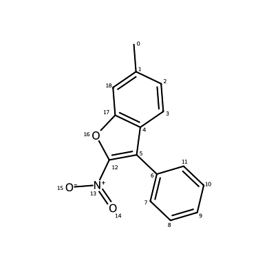 Cc1ccc2c(-c3ccccc3)c([N+](=O)[O-])oc2c1